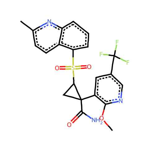 COc1ncc(C(F)(F)F)cc1C1(C(N)=O)CC1S(=O)(=O)c1cccc2nc(C)ccc12